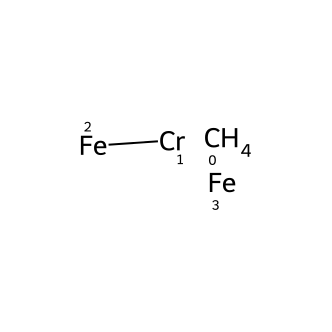 C.[Cr][Fe].[Fe]